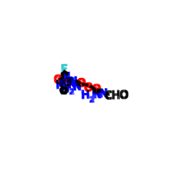 N/C(=C\NCC=O)OCCOCCO/C(N)=C/N(N)CC(=O)N1C[C@H](F)CC1C(=O)NCc1ccccc1